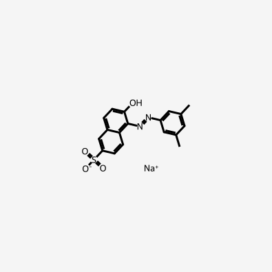 Cc1cc(C)cc(N=Nc2c(O)ccc3cc(S(=O)(=O)[O-])ccc23)c1.[Na+]